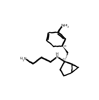 NCCCN[C@]1(C[C@@H]2C=C(N)C=CC2)CCC2CC21